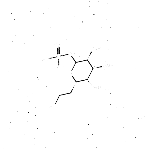 CO[C@H]1[C@H](OC)[C@@H](CCO)OC(OP(=O)(O)O)[C@H]1OC